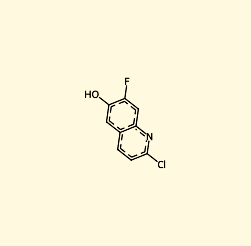 Oc1cc2ccc(Cl)nc2cc1F